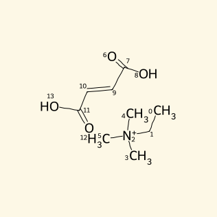 CC[N+](C)(C)C.O=C(O)/C=C/C(=O)O